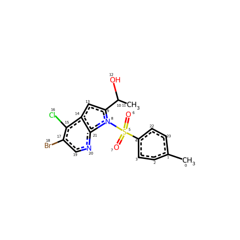 Cc1ccc(S(=O)(=O)n2c(C(C)O)cc3c(Cl)c(Br)cnc32)cc1